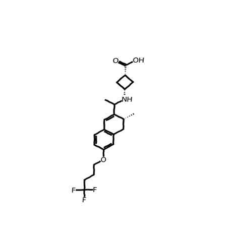 CC(N[C@H]1C[C@@H](C(=O)O)C1)C1=Cc2ccc(OCCCC(F)(F)F)cc2C[C@H]1C